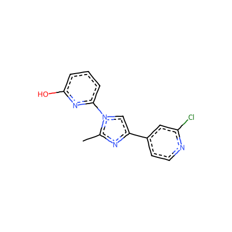 Cc1nc(-c2ccnc(Cl)c2)cn1-c1cccc(O)n1